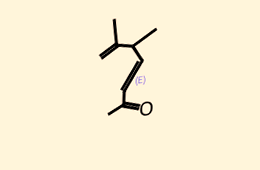 C=C(C)C(C)/C=C/C(C)=O